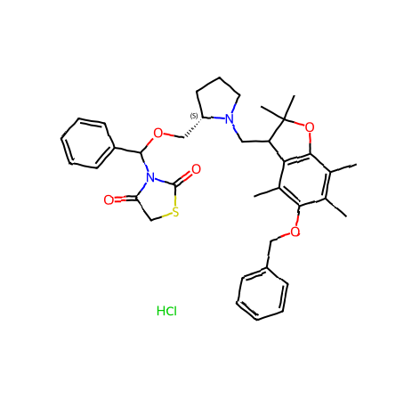 Cc1c(C)c2c(c(C)c1OCc1ccccc1)C(CN1CCC[C@H]1COC(c1ccccc1)N1C(=O)CSC1=O)C(C)(C)O2.Cl